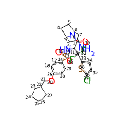 NC1CC2CCC(C1)N2C(=O)C(NS(=O)(=O)c1ccc(OCC2CCCCC2)cc1)C(F)(F)c1ccc(Cl)s1